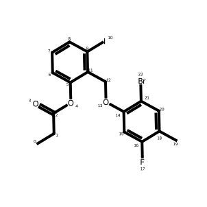 CCC(=O)Oc1cccc(I)c1COc1cc(F)c(C)cc1Br